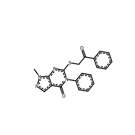 Cn1ncc2c(=O)n(-c3ccccc3)c(SCC(=O)c3ccccc3)nc21